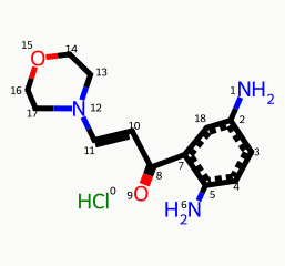 Cl.Nc1ccc(N)c(C(=O)C=CN2CCOCC2)c1